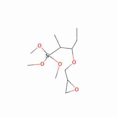 CCC(OCC1CO1)C(C)[Si](OC)(OC)OC